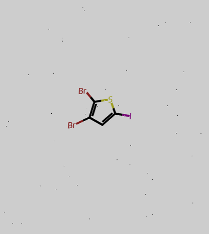 Brc1cc(I)sc1Br